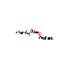 CCCCCC[O][Au][O]CCCCCC